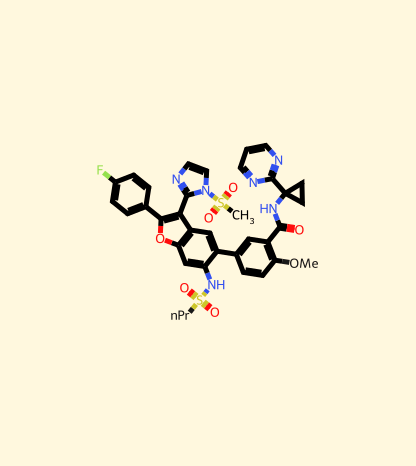 CCCS(=O)(=O)Nc1cc2oc(-c3ccc(F)cc3)c(-c3nccn3S(C)(=O)=O)c2cc1-c1ccc(OC)c(C(=O)NC2(c3ncccn3)CC2)c1